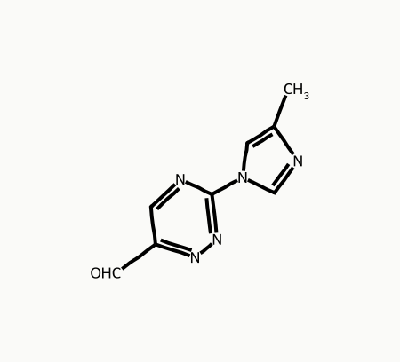 Cc1cn(-c2ncc(C=O)nn2)cn1